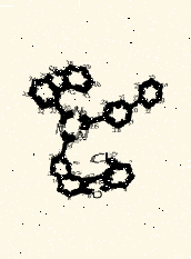 Clc1cccc2oc3ccc4ccc(-c5nc(-c6ccc(-c7ccccc7)cc6)nc(-c6cccc7sc8ccccc8c67)n5)cc4c3c12